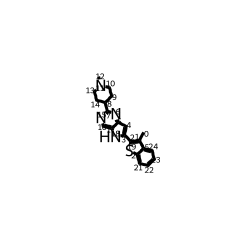 Cc1c(-c2cc3nc(C4CCN(C)CC4)ncc3[nH]2)sc2ccccc12